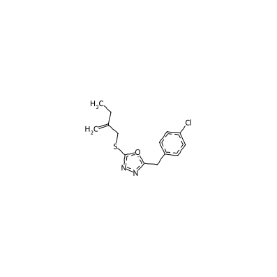 C=C(CC)CSc1nnc(Cc2ccc(Cl)cc2)o1